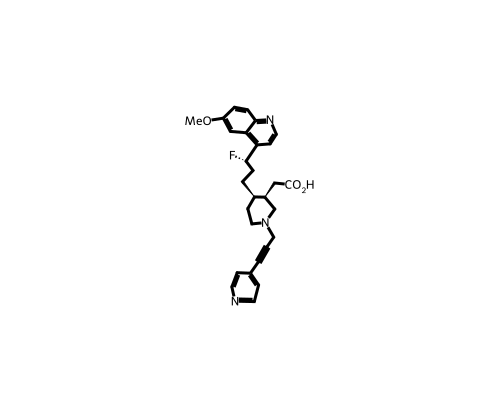 COc1ccc2nccc([C@@H](F)CC[C@@H]3CCN(CC#Cc4ccncc4)C[C@@H]3CC(=O)O)c2c1